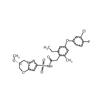 CCc1cc(Oc2ccc(F)c(Cl)c2)cc(C)c1CC(=O)NS(=O)(=O)c1cc2n(n1)C[C@@H](OC)CO2